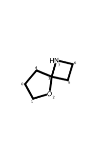 C1COC2(C1)CCN2